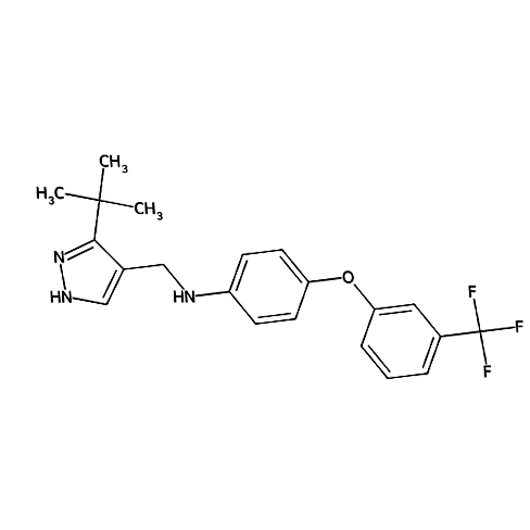 CC(C)(C)c1n[nH]cc1CNc1ccc(Oc2cccc(C(F)(F)F)c2)cc1